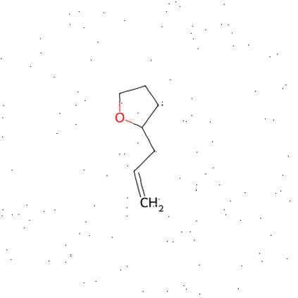 C=CCC1[CH]CCO1